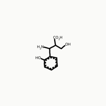 NC(c1ccccc1O)C(CO)C(=O)O